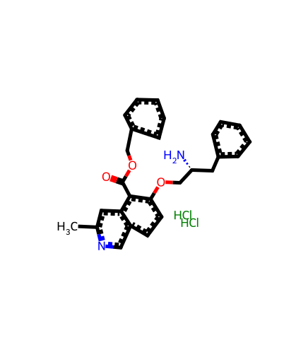 Cc1cc2c(C(=O)OCc3ccccc3)c(OC[C@H](N)Cc3ccccc3)ccc2cn1.Cl.Cl